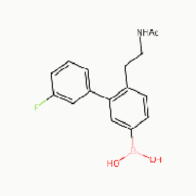 CC(=O)NCCc1ccc(B(O)O)cc1-c1cccc(F)c1